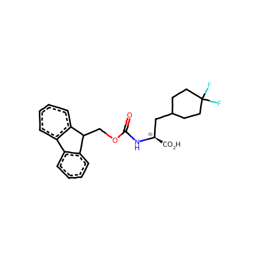 O=C(N[C@@H](CC1CCC(F)(F)CC1)C(=O)O)OCC1c2ccccc2-c2ccccc21